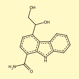 NC(=O)c1ccc(C(O)CO)c2c1[nH]c1ccccc12